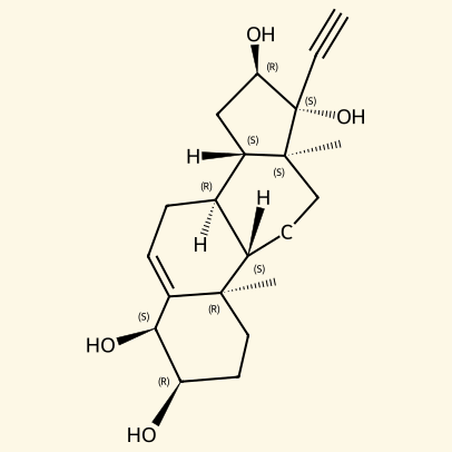 C#C[C@]1(O)[C@H](O)C[C@H]2[C@@H]3CC=C4[C@H](O)[C@H](O)CC[C@]4(C)[C@H]3CC[C@@]21C